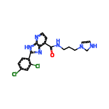 O=C(NCCCN1C=CNC1)c1ccnc2[nH]c(-c3ccc(Cl)cc3Cl)nc12